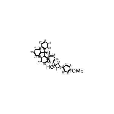 COc1ccc(C2CC(O)(c3ccc(OC(c4ccccc4)(c4ccccc4)c4ccccc4)cc3)C2)cc1